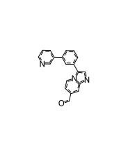 O=Cc1ccn2c(-c3cccc(-c4cccnc4)c3)cnc2c1